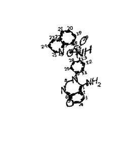 NC1=c2ccoc2=NCN1c1ccc(NS(=O)(=O)c2cccc3cccnc23)cc1